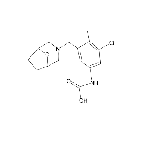 Cc1c(Cl)cc(NC(=O)O)cc1CN1CC2CCC(C1)O2